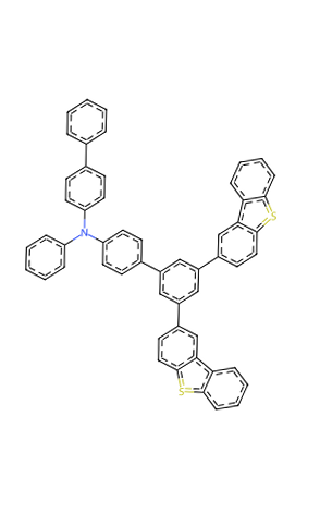 c1ccc(-c2ccc(N(c3ccccc3)c3ccc(-c4cc(-c5ccc6sc7ccccc7c6c5)cc(-c5ccc6sc7ccccc7c6c5)c4)cc3)cc2)cc1